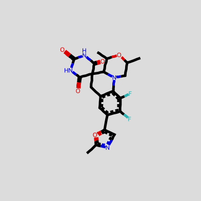 Cc1ncc(-c2cc3c(c(F)c2F)N2CC(C)OC(C)C2C2(C3)C(=O)NC(=O)NC2=O)o1